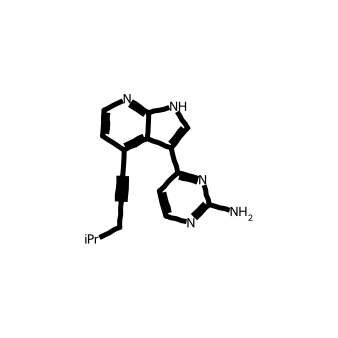 CC(C)CC#Cc1ccnc2[nH]cc(-c3ccnc(N)n3)c12